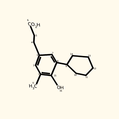 Cc1cc(CCC(=O)O)cc(C2CCCCC2)c1O